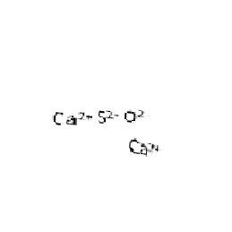 [Ca+2].[Ca+2].[O-2].[S-2]